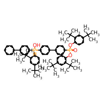 CC(C)(C)c1ccc(OP(=O)(Oc2ccc(C(C)(C)C)cc2C(C)(C)C)c2ccc(-c3ccc([PH](O)(c4ccc(-c5ccccc5)cc4)c4ccc(C(C)(C)C)cc4C(C)(C)C)cc3)cc2)c(C(C)(C)C)c1